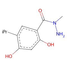 CC(C)c1cc(C(=O)N(C)N)c(O)cc1O